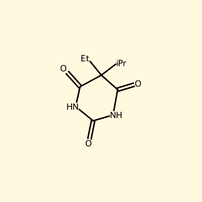 CCC1(C(C)C)C(=O)NC(=O)NC1=O